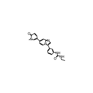 CCNC(=O)Nc1cccc(-c2cnc3cc(-c4ccc(=O)n(C)c4)ccn23)c1